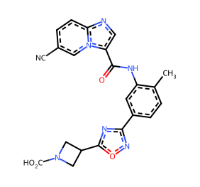 Cc1ccc(-c2noc(C3CN(C(=O)O)C3)n2)cc1NC(=O)c1cnc2ccc(C#N)cn12